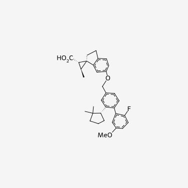 COc1ccc(F)c(-c2ccc(COc3ccc4c(c3)[C@@]3(CC4)[C@@H](C)[C@@H]3C(=O)O)cc2[C@@H]2CCCC2(C)C)c1